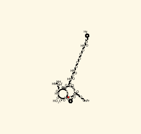 CCCOCCOCCCC(=O)[C@@H]1CSCC(=O)N[C@@H](CCCCNC(=O)COCC(=O)NCCOCCOCCOCCOCCOCCNC(=O)CO/N=C/c2ccc([18F])cc2)C(=O)N[C@H]2CSSC[C@H](NC(=O)[C@H](CC(=O)O)CC(=O)CNC(=O)[C@H](CCCNC(=N)N)CC2=O)C(=O)C[C@@H](Cc2ccccc2)C(=O)N1